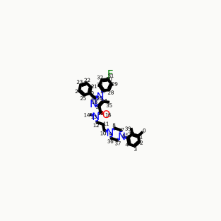 Cc1cccc(N2CCN(CCCN(C)C(=O)c3nc(-c4ccccc4)n(-c4ccc(F)cc4)c3C)CC2)c1C